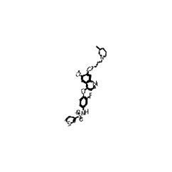 COc1cc2c(Oc3ccc(NS(=O)(=O)C4=CSCC4)cc3F)ccnc2cc1OCCCN1CCCC(C)C1